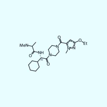 CCOc1cc(C(=O)N2CCN(C(=O)[C@@H](NC(=O)C(C)NC)C3CCCCC3)CC2)n(C)n1